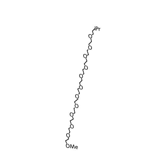 COCCOCCOCCOCCOCCOCCOCCOCCOCCOCCOCCOCCC(C)C